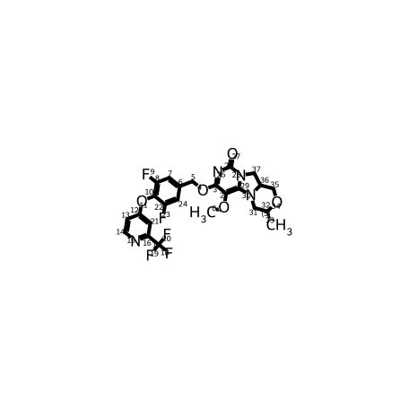 COc1c(OCc2cc(F)c(Oc3ccnc(C(F)(F)F)c3)c(F)c2)nc(=O)n2c1N1C[C@H](C)OCC1C2